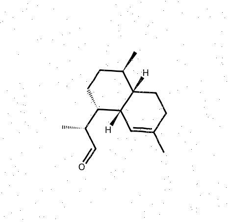 CC1=C[C@H]2[C@@H](CC1)[C@H](C)CC[C@H]2[C@@H](C)C=O